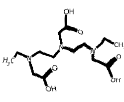 CCN(CCN(CCN(CC)CC(=O)O)CC(=O)O)CC(=O)O